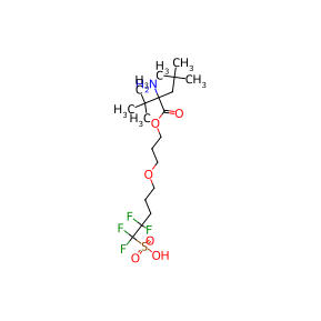 CC(C)(C)CC(N)(C(=O)OCCCOCCCC(F)(F)C(F)(F)S(=O)(=O)O)C(C)(C)C